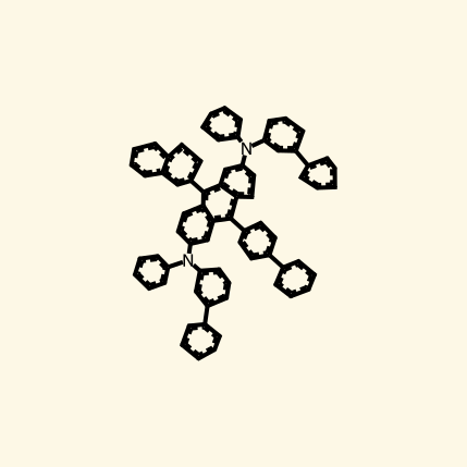 c1ccc(-c2ccc(-c3c4ccc(N(c5ccccc5)c5cccc(-c6ccccc6)c5)cc4c(-c4ccc5ccccc5c4)c4ccc(N(c5ccccc5)c5cccc(-c6ccccc6)c5)cc34)cc2)cc1